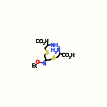 CCON=C(CSCC(N)C(=O)O)CSCC(N)C(=O)O